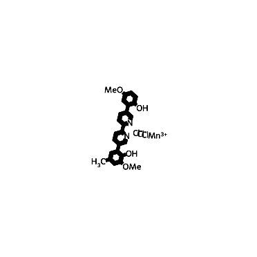 COc1ccc(O)c(-c2ccc(-c3ccc(-c4cc(C)cc(OC)c4O)cn3)nc2)c1.[Cl-].[Cl-].[Cl-].[Mn+3]